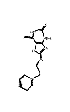 O=c1[nH]c(=S)[nH]c2nc(SCCN3CCCCC3)[nH]c12